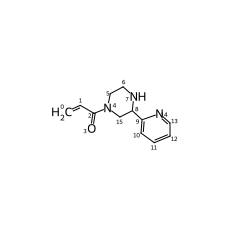 C=CC(=O)N1CCNC(c2ccccn2)C1